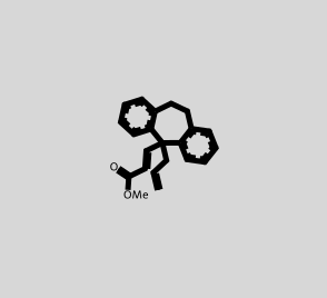 C=CCC1(/C=C/C(=O)OC)c2ccccc2CCc2ccccc21